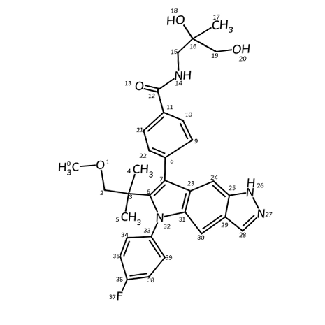 COCC(C)(C)c1c(-c2ccc(C(=O)NCC(C)(O)CO)cc2)c2cc3[nH]ncc3cc2n1-c1ccc(F)cc1